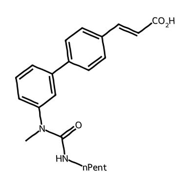 CCCCCNC(=O)N(C)c1cccc(-c2ccc(C=CC(=O)O)cc2)c1